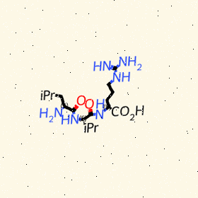 CC(C)C[C@H](N)C(=O)N[C@H](C(=O)N[C@@H](CCCNC(=N)N)C(=O)O)C(C)C